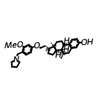 COc1cc(OCC[C@H]2CC[C@H]3[C@@H]4[C@H](C)Cc5cc(O)ccc5[C@H]4CC[C@]23C)ccc1CN1CCCC1